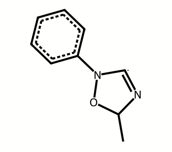 CC1N=[C]N(c2ccccc2)O1